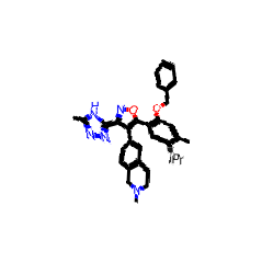 Cc1nnc(-c2noc(-c3cc(C(C)C)c(C)cc3OCc3ccccc3)c2-c2ccc3c(c2)CCN(C)C3)[nH]1